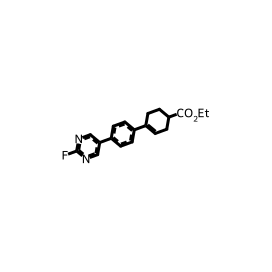 CCOC(=O)C1CC=C(c2ccc(-c3cnc(F)nc3)cc2)CC1